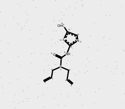 C=CCN(CC=C)C(=O)Nc1ncc(C=O)s1